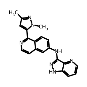 Cc1cc(-c2nccc3cc(Nc4n[nH]c5cccnc45)ccc23)n(C)n1